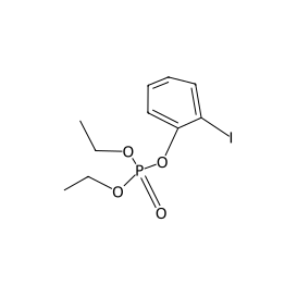 CCOP(=O)(OCC)Oc1ccccc1I